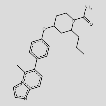 CCCC1CC(Oc2ccc(-c3ccc4nccn4c3C)cc2)CCN1C(N)=O